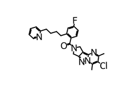 Cc1nc2c3c(nn2c(C)c1Cl)CN(C(=O)c1ccc(F)cc1CCCCc1ccccn1)C3